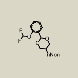 CCCCCCCCCC1COC(c2ccccc2OC(F)F)OC1